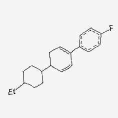 CCC1CCC(C2C=CC(c3ccc(F)cc3)=CC2)CC1